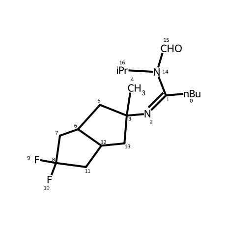 CCCC/C(=N/C1(C)CC2CC(F)(F)CC2C1)N(C=O)C(C)C